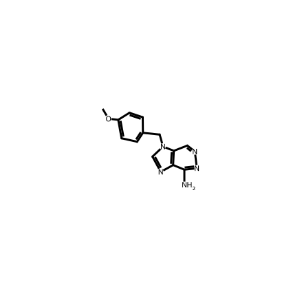 COc1ccc(Cn2cnc3c(N)nncc32)cc1